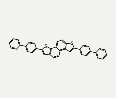 c1ccc(-c2ccc(-c3cc4c(ccc5c4ccc4cc(-c6ccc(-c7ccccc7)cc6)sc45)s3)cc2)cc1